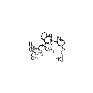 CN(CC(=O)NC(C)(C)CO)c1nc(-c2cc(OCCO)ccn2)nc2c1CCC2